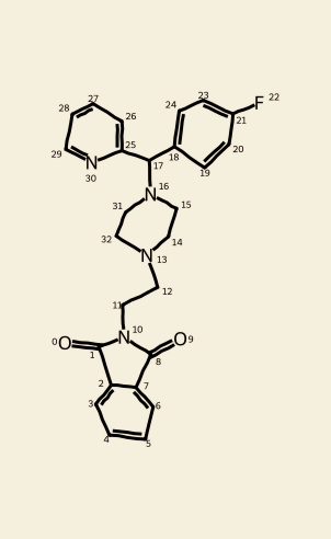 O=C1c2ccccc2C(=O)N1CCN1CCN(C(c2ccc(F)cc2)c2ccccn2)CC1